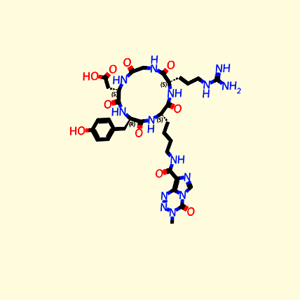 Cn1nnc2c(C(=O)NCCCC[C@@H]3NC(=O)[C@@H](Cc4ccc(O)cc4)NC(=O)[C@H](CC(=O)O)NC(=O)CNC(=O)[C@H](CCCNC(=N)N)NC3=O)ncn2c1=O